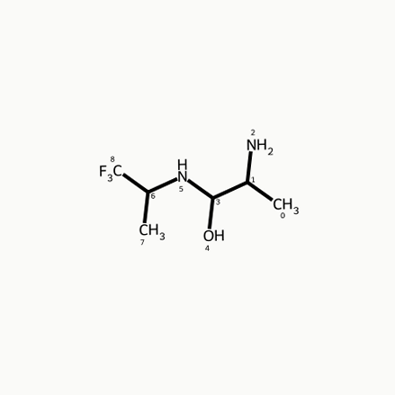 CC(N)C(O)NC(C)C(F)(F)F